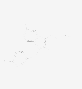 Cc1c(CCCC(=O)O)c2cc(Cl)ccc2n1Cc1ccc(Br)cc1